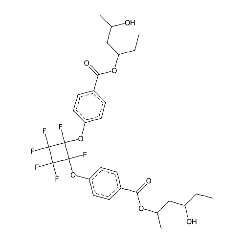 CCC(O)CC(C)OC(=O)c1ccc(OC2(F)C(F)(F)C(F)(F)C2(F)Oc2ccc(C(=O)OC(CC)CC(C)O)cc2)cc1